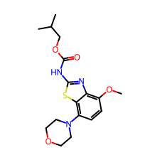 COc1ccc(N2CCOCC2)c2sc(NC(=O)OCC(C)C)nc12